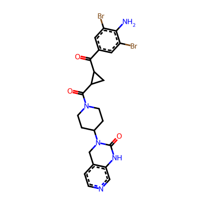 Nc1c(Br)cc(C(=O)C2CC2C(=O)N2CCC(N3Cc4ccncc4NC3=O)CC2)cc1Br